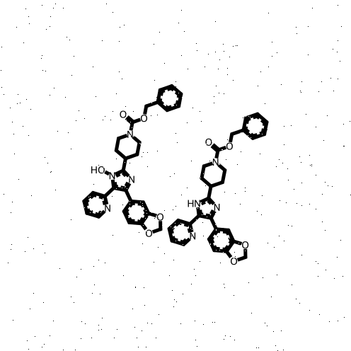 O=C(OCc1ccccc1)N1CCC(c2nc(-c3ccc4c(c3)OCO4)c(-c3ccccn3)[nH]2)CC1.O=C(OCc1ccccc1)N1CCC(c2nc(-c3ccc4c(c3)OCO4)c(-c3ccccn3)n2O)CC1